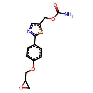 NC(=O)OCc1cnc(-c2ccc(OCC3CO3)cc2)s1